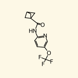 O=C(Nc1ccc(OC(F)(F)F)cn1)C12CC(C1)C2